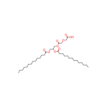 CCCCCCCCCCCCCC(=O)OCC(COC(=O)COCC(=O)O)OC(=O)CCCCCCCCCCCCC